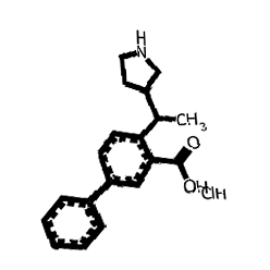 CC(c1ccc(-c2ccccc2)cc1C(=O)O)C1CCNC1.Cl